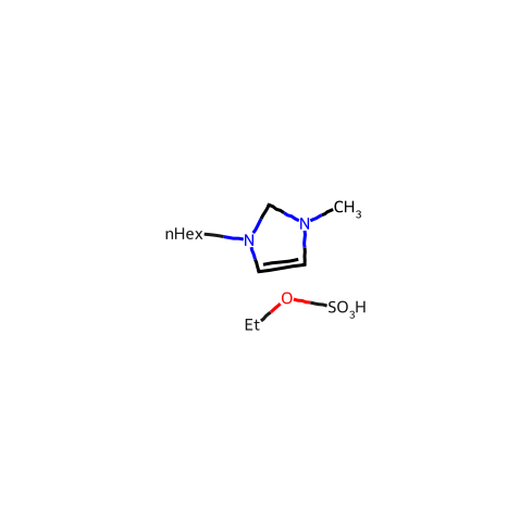 CCCCCCN1C=CN(C)C1.CCOS(=O)(=O)O